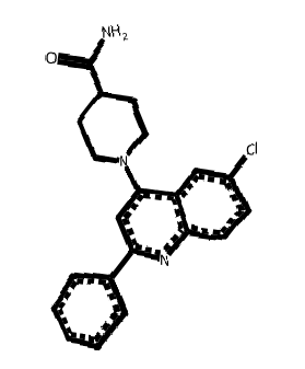 NC(=O)C1CCN(c2cc(-c3ccccc3)nc3ccc(Cl)cc23)CC1